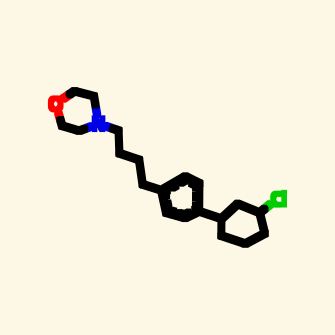 ClC1CCCC(c2ccc(CCCCN3CCOCC3)cc2)C1